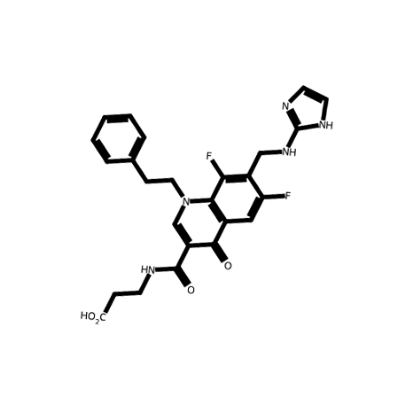 O=C(O)CCNC(=O)c1cn(CCc2ccccc2)c2c(F)c(CNc3ncc[nH]3)c(F)cc2c1=O